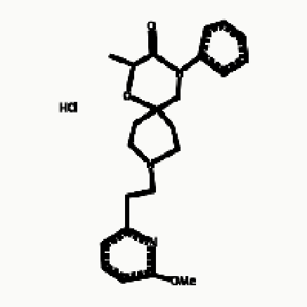 COc1cccc(CCN2CCC3(CC2)CN(c2ccccc2)C(=O)C(C)O3)n1.Cl